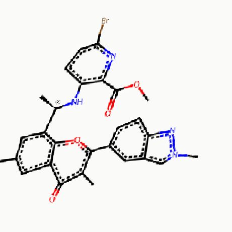 COC(=O)c1nc(Br)ccc1N[C@H](C)c1cc(C)cc2c(=O)c(C)c(-c3ccc4nn(C)cc4c3)oc12